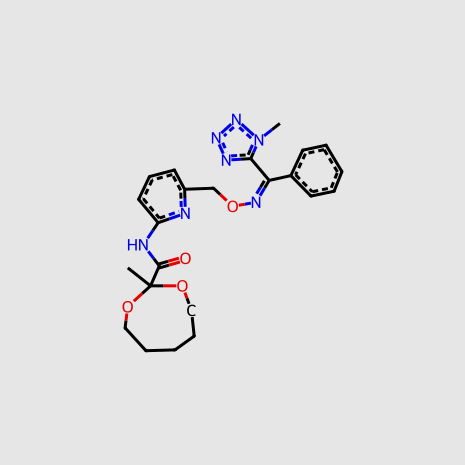 Cn1nnnc1/C(=N\OCc1cccc(NC(=O)C2(C)OCCCCCO2)n1)c1ccccc1